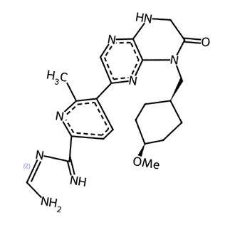 CO[C@H]1CC[C@@H](CN2C(=O)CNc3ncc(-c4ccc(C(=N)/N=C\N)nc4C)nc32)CC1